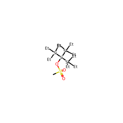 CC[Si](CC)(CC)[Si](OS(C)(=O)=O)([Si](CC)(CC)CC)[Si](CC)(CC)CC